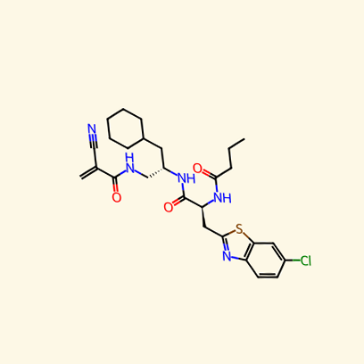 C=C(C#N)C(=O)NC[C@H](CC1CCCCC1)NC(=O)[C@H](Cc1nc2ccc(Cl)cc2s1)NC(=O)CCC